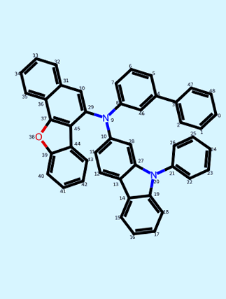 c1ccc(-c2cccc(N(c3ccc4c5ccccc5n(-c5ccccc5)c4c3)c3cc4ccccc4c4oc5ccccc5c34)c2)cc1